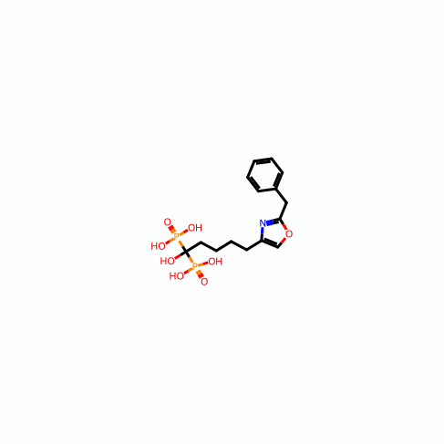 O=P(O)(O)C(O)(CCCCc1coc(Cc2ccccc2)n1)P(=O)(O)O